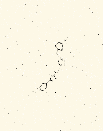 COc1ccc(-c2nc(C(=O)Nc3cn(Cc4ccc(C(F)(F)F)cc4)nn3)co2)cc1